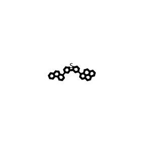 c1ccc2c(c1)ccc1c(-c3ccc4sc5ccc(-c6ccc7ccc8cccc9ccc6c7c89)cc5c4c3)cccc12